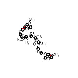 C=CCOc1ccc(OCc2ccc(Oc3ccc(CC(C)(C)Oc4c(C)cc(Oc5c(C)cc(-c6cc(C)c(Oc7cc(C)c(OCc8ccc(Oc9ccc(COc%10ccc(OCC=C)c(P(=O)(c%11ccccc%11)c%11ccccc%11)c%10)cc9)cc8)c(C)c7)c(C)c6)cc5C)cc4C)cc3)cc2)c(P(=O)(c2ccccc2)c2ccccc2)c1